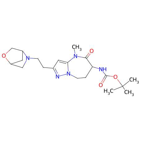 CN1C(=O)C(NC(=O)OC(C)(C)C)CCn2nc(CCN3CC4CC3CO4)cc21